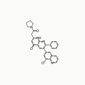 O=C(Cc1cc(=O)c2cc(-c3cc(Cl)c4ncccc4c3)c(-c3ccccc3)nc2[nH]1)N1CCCC1